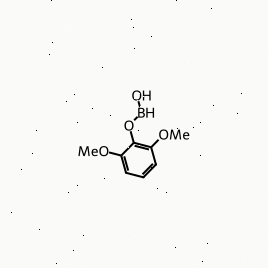 COc1cccc(OC)c1OBO